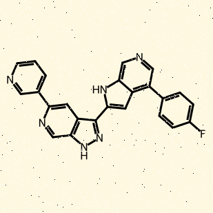 Fc1ccc(-c2cncc3[nH]c(-c4n[nH]c5cnc(-c6cccnc6)cc45)cc23)cc1